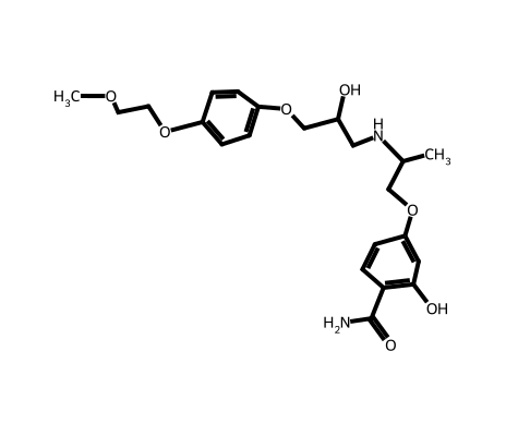 COCCOc1ccc(OCC(O)CNC(C)COc2ccc(C(N)=O)c(O)c2)cc1